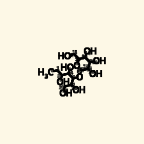 CCC(O)C(O)C(O[C@@H]1OC(CO)[C@H](O)C(O)[C@@H]1O)C(O)CO